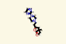 CCC1(C)CC(CCN2CCN(c3cnccn3)CC2)OC1=O